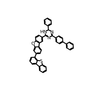 c1ccc(-c2ccc(C3=NC(c4ccccc4)NC(c4ccc5oc6cc(-c7cccc8c7sc7ccccc78)ccc6c5c4)=N3)cc2)cc1